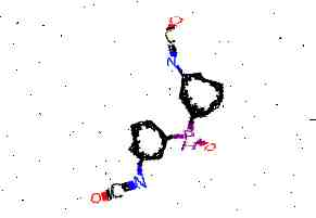 O=C=Nc1cccc([PH](=O)c2cccc(N=C=O)c2)c1